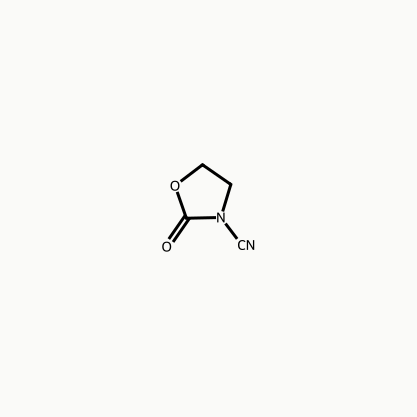 N#CN1CCOC1=O